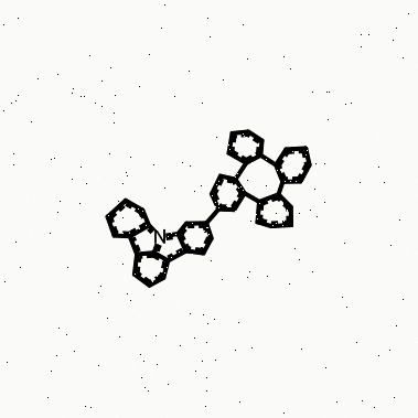 c1ccc2c(c1)-c1ccccc1-c1ccc(-c3ccc4c5cccc6c7ccccc7n(c4c3)c65)cc1-c1ccccc1-2